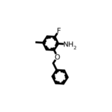 Cc1cc(F)c(N)c(OCc2ccccc2)c1